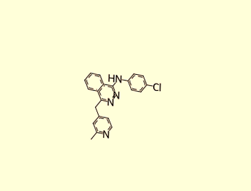 Cc1cc(Cc2nnc(Nc3ccc(Cl)cc3)c3ccccc23)ccn1